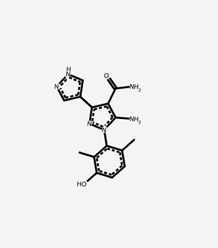 Cc1ccc(O)c(C)c1-n1nc(-c2cn[nH]c2)c(C(N)=O)c1N